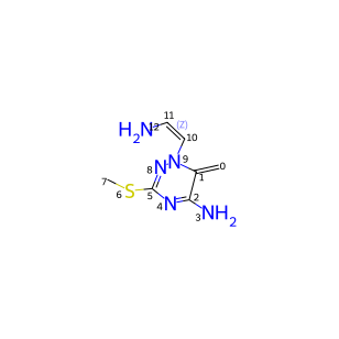 C=C1C(N)=NC(SC)=NN1/C=C\N